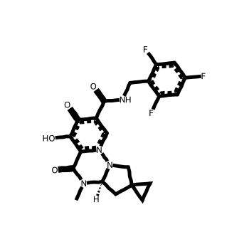 CN1C(=O)c2c(O)c(=O)c(C(=O)NCc3c(F)cc(F)cc3F)cn2N2CC3(CC3)C[C@@H]12